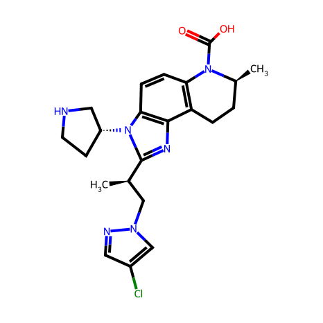 C[C@H](Cn1cc(Cl)cn1)c1nc2c3c(ccc2n1[C@@H]1CCNC1)N(C(=O)O)[C@@H](C)CC3